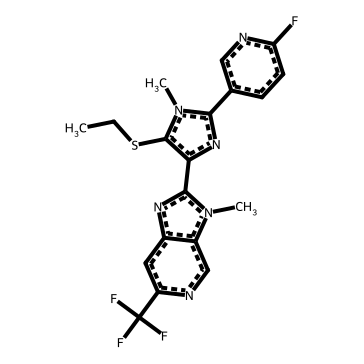 CCSc1c(-c2nc3cc(C(F)(F)F)ncc3n2C)nc(-c2ccc(F)nc2)n1C